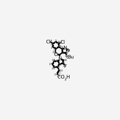 Cc1cc(Cl)cc(Cl)c1-c1noc(C(C)(C)C)c1C(=O)n1cc(F)c2c(/C=C/C(=O)O)cccc21